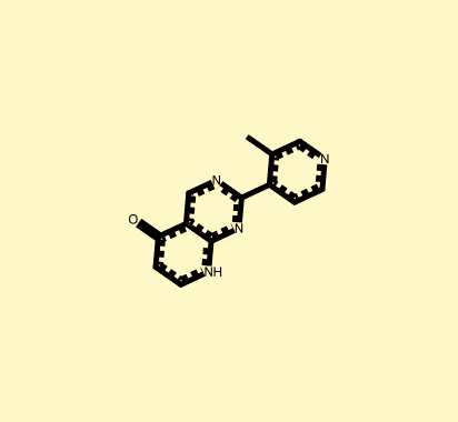 Cc1cnccc1-c1ncc2c(=O)cc[nH]c2n1